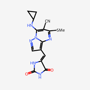 CSc1nc2c(/C=C3\NC(=O)NC3=O)cnn2c(NC2CC2)c1C#N